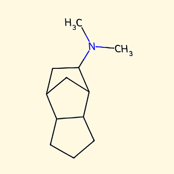 CN(C)C1CC2CC1C1CCCC21